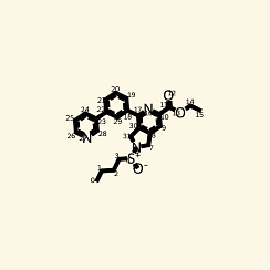 CCCC[S+]([O-])N1Cc2cc(C(=O)OCC)nc(-c3cccc(-c4cccnc4)c3)c2C1